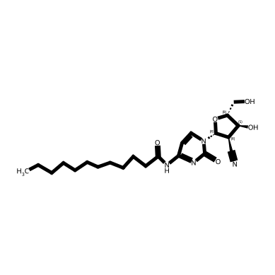 CCCCCCCCCCCC(=O)Nc1ccn([C@@H]2O[C@H](CO)[C@@H](O)[C@H]2C#N)c(=O)n1